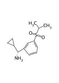 CC(C)S(=O)(=O)c1cccc([C@H](N)C2CC2)c1